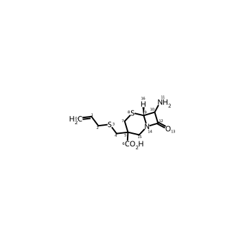 C=CCSCC1(C(=O)O)CS[C@@H]2C(N)C(=O)N2C1